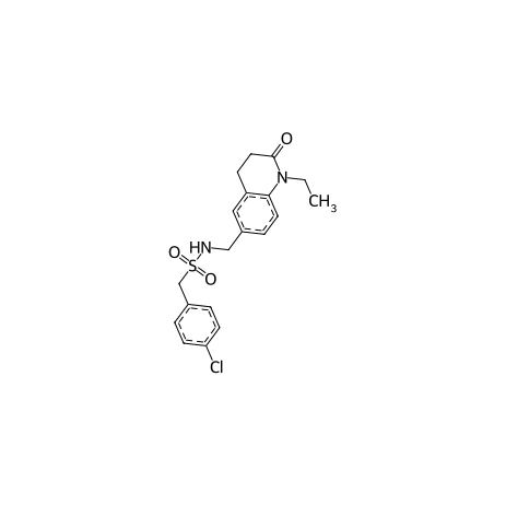 CCN1C(=O)CCc2cc(CNS(=O)(=O)Cc3ccc(Cl)cc3)ccc21